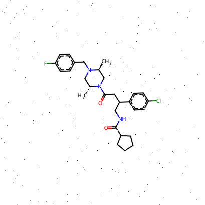 C[C@@H]1CN(Cc2ccc(F)cc2)[C@@H](C)CN1C(=O)CC(CNC(=O)C1CCCC1)c1ccc(Cl)cc1